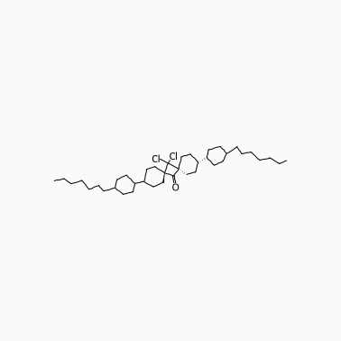 CCCCCCCC1CCC(C2CC[C@]3(CC2)C(=O)[C@@]2(CC[C@@H](C4CCC(CCCCCCC)CC4)CC2)C3(Cl)Cl)CC1